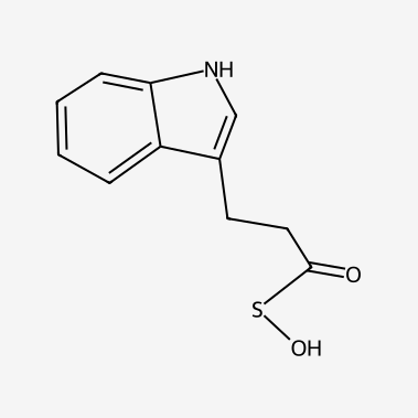 O=C(CCc1c[nH]c2ccccc12)SO